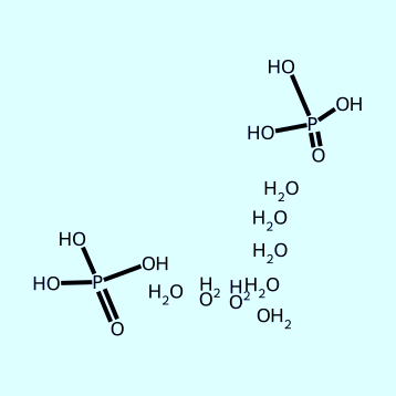 O.O.O.O.O.O.O.O.O=P(O)(O)O.O=P(O)(O)O